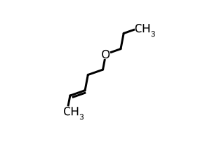 CC=CCCOCCC